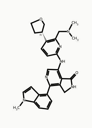 CN(C)Cc1nc(Nc2cnc(-c3cccc4c3ccn4C)c3c2C(=O)NC3)ccc1[C@@H]1CCOC1